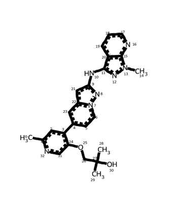 Cc1cc(-c2ccn3nc(Nc4nn(C)c5ncccc45)cc3c2)c(OCC(C)(C)O)cn1